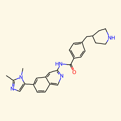 Cc1ncc(-c2ccc3cnc(NC(=O)c4ccc(CC5CCNCC5)cc4)cc3c2)n1C